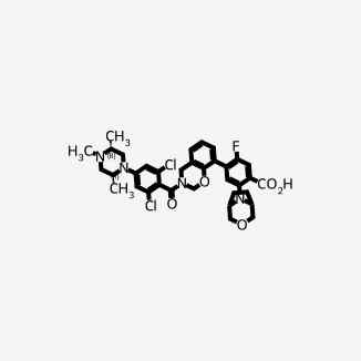 C[C@@H]1CN(c2cc(Cl)c(C(=O)N3COc4c(cccc4-c4cc(N5C6CCC5COC6)c(C(=O)O)cc4F)C3)c(Cl)c2)[C@H](C)CN1C